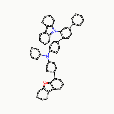 c1ccc(-c2ccc(-c3ccc(N(c4ccccc4)c4ccc(-c5cccc6c5oc5ccccc56)cc4)cc3)c(-n3c4ccccc4c4ccccc43)c2)cc1